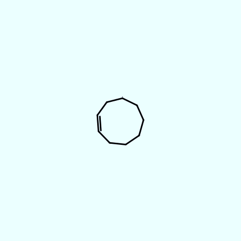 [CH]1CC=CCCCCC1